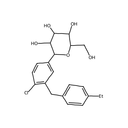 CCc1ccc(Cc2cc(C3OC(CO)C(O)C(O)C3O)ccc2Cl)cc1